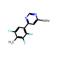 CNc1cc(-c2cc(F)c(C)c(F)c2F)ncn1